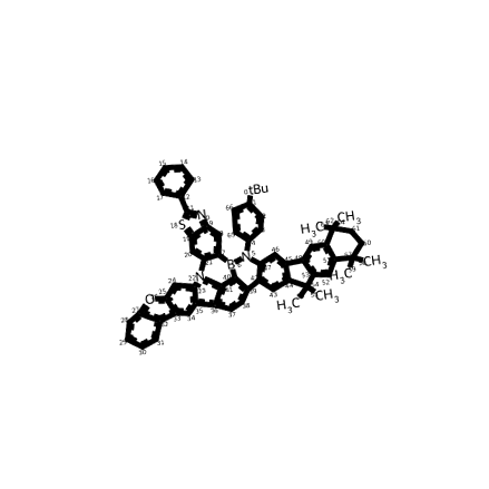 CC(C)(C)c1ccc(N2B3c4cc5nc(-c6ccccc6)sc5cc4-n4c5cc6oc7ccccc7c6cc5c5ccc(c3c54)-c3cc4c(cc32)-c2cc3c(cc2C4(C)C)C(C)(C)CCC3(C)C)cc1